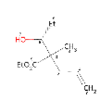 C=CCC(C)(C(=O)OCC)[C@H](O)CC